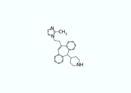 Cc1nccn1CCC1=Cc2ccccc2C(C2CCNCC2)c2ccccc21